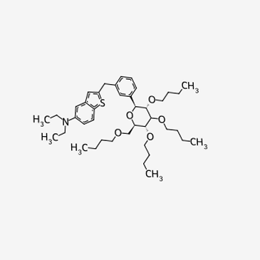 CCCCOC[C@H]1O[C@@H](c2cccc(Cc3cc4cc(N(CC)CC)ccc4s3)c2)[C@H](OCCCC)C(OCCCC)[C@@H]1OCCCC